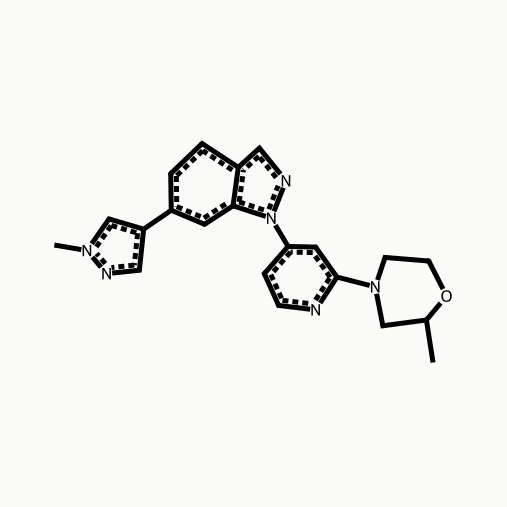 CC1CN(c2cc(-n3ncc4ccc(-c5cnn(C)c5)cc43)ccn2)CCO1